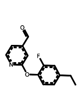 CCc1ccc(Oc2cc(C=O)ccn2)c(F)c1